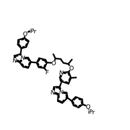 Cc1cc(-c2cnc3ccc(-c4ccc(OC(C)C)cc4)cn23)cnc1OC(C)CCC(C)Oc1ccc(-c2ccc3ncc(-c4ccc(OC(C)C)cc4)n3c2)cc1F